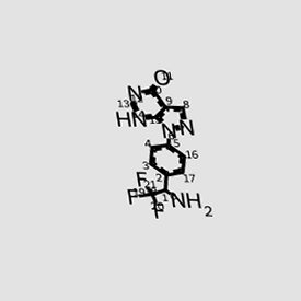 NC(c1ccc(-n2ncc3c(=O)nc[nH]c32)cc1)C(F)(F)F